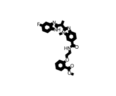 COC(=O)c1ccccc1OCCNC(=O)c1ccc2nc(C(C)c3nc4cc(F)ccc4[nH]3)n(C)c2c1